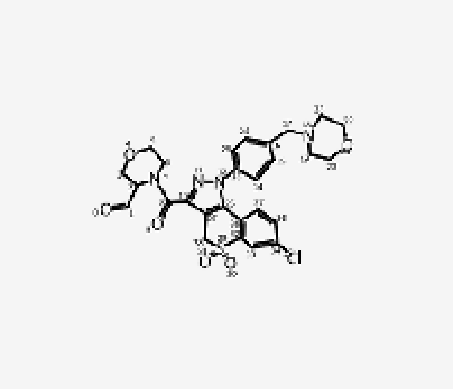 O=CC1COCCN1C(=O)c1nn(-c2ccc(CN3CCOCC3)cc2)c2c1CS(=O)(=O)c1cc(Cl)ccc1-2